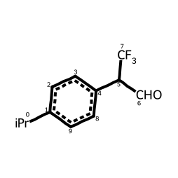 CC(C)c1ccc(C(C=O)C(F)(F)F)cc1